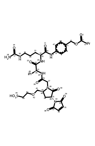 CC(C)C(=O)OCc1ccc(NC(=O)[C@H](CCCNC(N)=O)NC(=O)[C@@H](NC(=O)CN2C(=O)[C@H](N3C(=O)C=CC3=O)C[C@H]2COCCS(=O)(=O)O)C(C)C)cc1